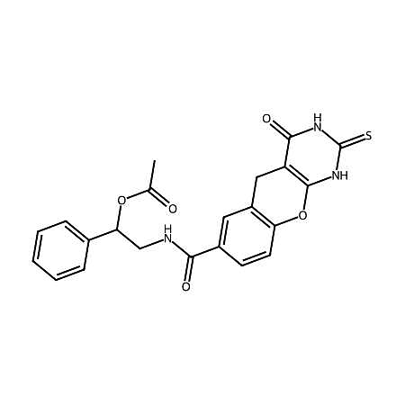 CC(=O)OC(CNC(=O)c1ccc2c(c1)Cc1c([nH]c(=S)[nH]c1=O)O2)c1ccccc1